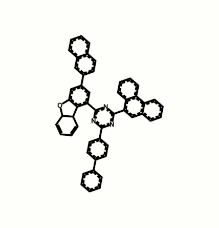 C1=CC2Oc3cc(-c4ccc5ccccc5c4)cc(-c4nc(-c5ccc(-c6ccccc6)cc5)nc(-c5cc6ccccc6c6ccccc56)n4)c3C2C=C1